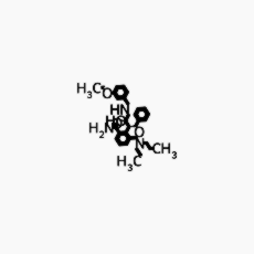 CCCN(CCC)C(=O)c1cccc(C(N)=O)c1[C@H](Cc1ccccc1)[C@@H](O)CNCc1cccc(OCC)c1